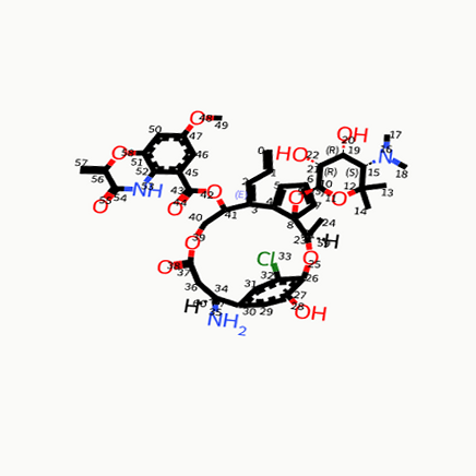 C=C/C=C1\C2=CC=CC2(O[C@@H]2OC(C)(C)[C@@H](N(C)C)[C@@H](O)[C@H]2O)[C@@H](C)Oc2c(O)cc(cc2Cl)[C@@H](N)CC(=O)OCC1OC(=O)c1cc(OC)cc2c1NC(=O)C(=C)O2